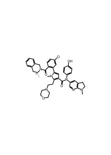 C[C@@H]1Cc2ccccc2CN1C(=O)c1ccc(Cl)cc1-c1cc(C(=O)N(c2ccc(O)cc2)c2cnc3c(c2)CCN3C)c(CCN2CCOCC2)n1C